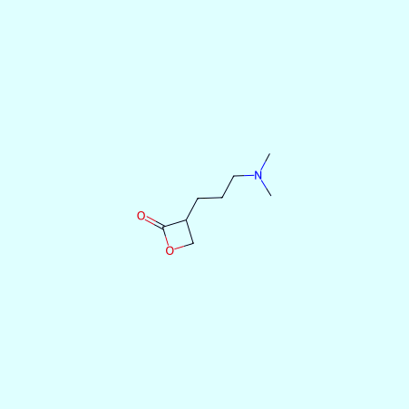 CN(C)CCCC1COC1=O